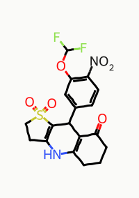 O=C1CCCC2=C1C(c1ccc([N+](=O)[O-])c(OC(F)F)c1)C1=C(CCS1(=O)=O)N2